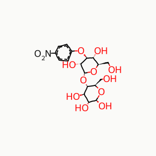 O=[N+]([O-])c1ccc(O[C@@H]2[C@@H](O)[C@@H](O[C@H]3[C@H](O)[C@@H](O)[C@H](O)O[C@@H]3CO)O[C@H](CO)[C@H]2O)cc1